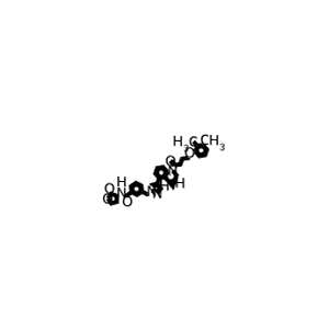 Cc1cccc(OCCCC(=O)N2C[C@@H]3C[C@@H]3c3c(-c4cnn(Cc5cccc(C(=O)N[C@H]6CCOC6=O)c5)c4)cccc32)c1C